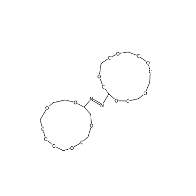 C1COCCOCC(N=NC2COCCOCCOCCOCCO2)OCCOCCO1